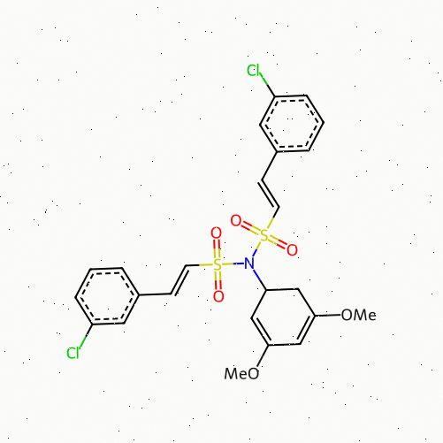 COC1=CC(N(S(=O)(=O)/C=C/c2cccc(Cl)c2)S(=O)(=O)/C=C/c2cccc(Cl)c2)CC(OC)=C1